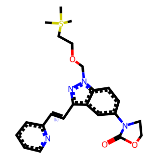 CS(C)(C)CCOCn1nc(/C=C/c2ccccn2)c2cc(N3CCOC3=O)ccc21